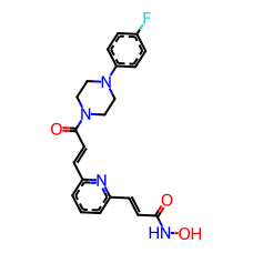 O=C(C=Cc1cccc(C=CC(=O)N2CCN(c3ccc(F)cc3)CC2)n1)NO